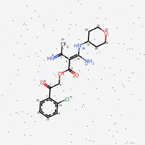 N=C(/C(C(=O)OCC(=O)c1ccccc1Cl)=C(/N)NC1CCOCC1)C(F)(F)F